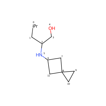 CC(C)CC(CO)NC1CC2(CC2)C1